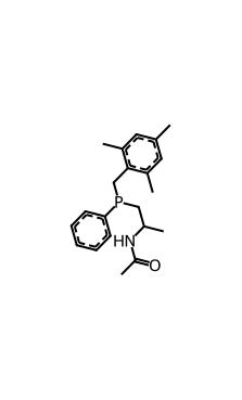 CC(=O)NC(C)CP(Cc1c(C)cc(C)cc1C)c1ccccc1